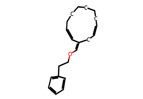 C1=CCC(=COCCc2ccccc2)C=CCCCCCC1